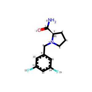 NC(=O)[C@H]1CCCN1Cc1cc(F)cc(F)c1